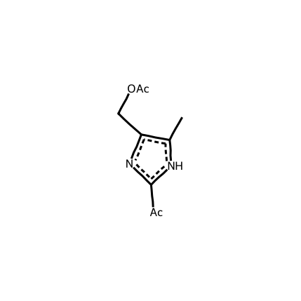 CC(=O)OCc1nc(C(C)=O)[nH]c1C